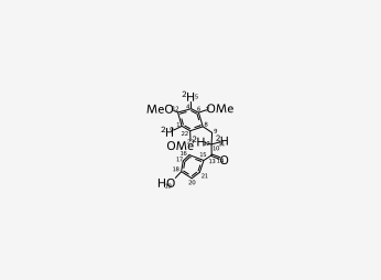 [2H]c1c(OC)c([2H])c(OC)c(CC([2H])([2H])C(=O)c2ccc(O)cc2)c1OC